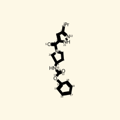 CC(C)c1cc(C(=O)N2CCC(NC(=O)Oc3ccccc3)C2)[nH]n1